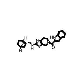 O=C(c1cc2ccccc2[nH]1)N1CCc2nc(NC[C@@H]3C[C@@H]4CC[C@H]3O4)sc2C1